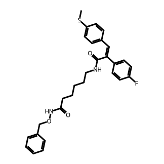 CSc1ccc(/C=C(\C(=O)NCCCCCC(=O)NOCc2ccccc2)c2ccc(F)cc2)cc1